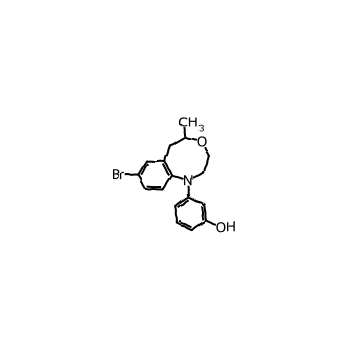 CC1Cc2cc(Br)ccc2N(c2cccc(O)c2)CCO1